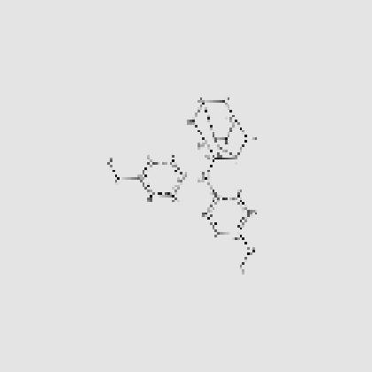 CCc1ccc(N(c2ccc(OC)cc2)C2C3CC4CC(C3)CC2C4)cc1